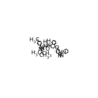 Cc1ccc(-n2nc(C(C)(C)C)cc2NC(=O)N[C@H]2CC[C@H](Oc3ccc4nnc(N5CCCCC5)n4c3)c3ccccc32)cc1